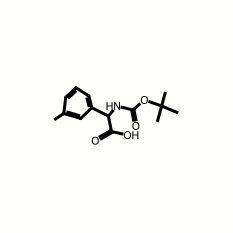 Cc1cccc(C(NC(=O)OC(C)(C)C)C(=O)O)c1